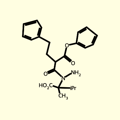 CC(C)C(C)(C(=O)O)N(N)C(=O)C(CCc1ccccc1)C(=O)Oc1ccccc1